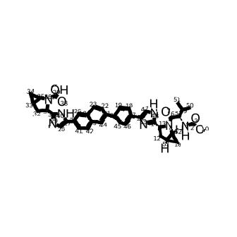 COC(=O)N[C@H](C(=O)N1[C@@H]2C[C@@H]2C[C@H]1c1nc(-c2ccc(-c3ccc4cc(-c5cnc(C6CC7CC7N6C(=O)O)[nH]5)ccc4c3)cc2)c[nH]1)C(C)C